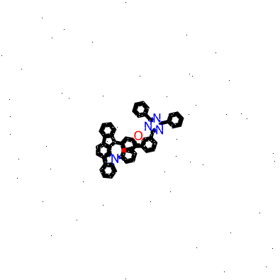 c1ccc(-c2nc(-c3ccccc3)nc(-c3cccc4c3oc3cc(C5c6ccccc6-c6ccc7c8ccccc8n(-c8ccccc8)c7c65)ccc34)n2)cc1